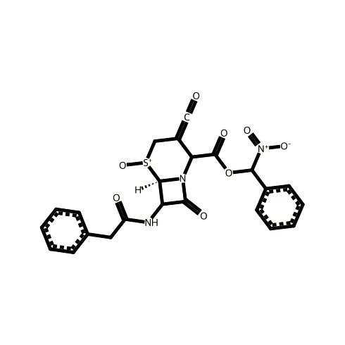 O=C=C1C[S+]([O-])[C@@H]2C(NC(=O)Cc3ccccc3)C(=O)N2C1C(=O)OC(c1ccccc1)[N+](=O)[O-]